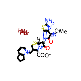 Br.Br.CO/N=C(/C(=O)N[C@@H]1C(=O)N2C(C(=O)[O-])=C(C[n+]3cccc4c3CCC4)CS[C@H]12)c1csc(N)n1